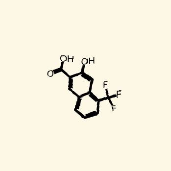 O=C(O)c1cc2cccc(C(F)(F)F)c2cc1O